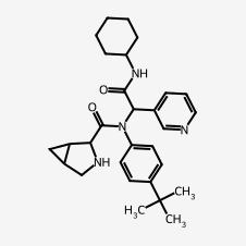 CC(C)(C)c1ccc(N(C(=O)C2NCC3CC32)C(C(=O)NC2CCCCC2)c2cccnc2)cc1